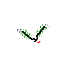 CC(O)(CCC(F)(F)C(F)(F)C(F)(F)C(F)(F)C(F)(F)C(F)(F)F)CCC(F)(F)C(F)(F)C(F)(F)C(F)(F)C(F)(F)C(F)(F)F